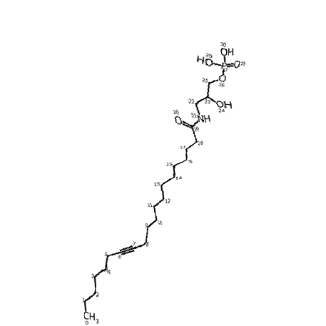 CCCCCCC#CCCCCCCCCCCCC(=O)NCC(O)COP(=O)(O)O